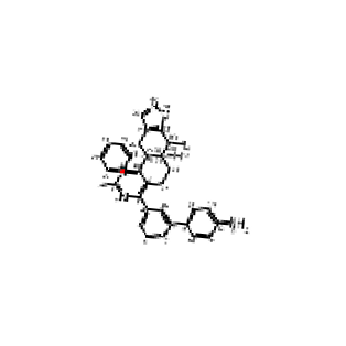 Cc1nc(-c2cccc(-c3ccc(N)cc3)c2)c2c(n1)[C@@]1(c3ccccc3)Cc3cnoc3[C@@H](C)[C@@H]1CC2